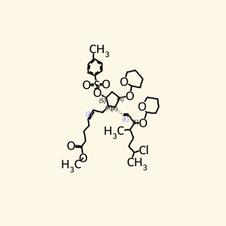 COC(=O)CCC/C=C\C[C@@H]1[C@@H](/C=C/[C@@H](OC2CCCCO2)C(C)CCC(C)Cl)[C@H](OC2CCCCO2)C[C@@H]1OS(=O)(=O)c1ccc(C)cc1